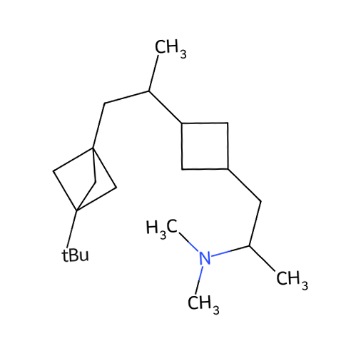 CC(CC12CC(C(C)(C)C)(C1)C2)C1CC(CC(C)N(C)C)C1